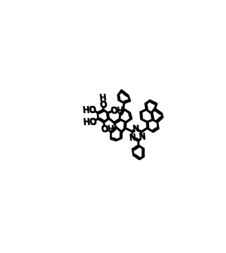 Oc1c(O)c(O)c(-c2c3ccccc3c(-c3nc(-c4ccccc4)nc(-c4ccc5ccc6cccc7ccc4c5c67)n3)c3ccc(-c4ccccc4)cc23)c(O)c1O